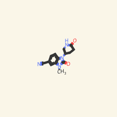 Cn1c(=O)n(C2CCC(=O)NC2)c2ccc(C#N)cc21